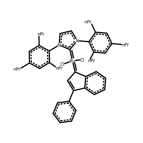 CCCc1cc(CCC)c(-n2ccn(-c3c(CCC)cc(CCC)cc3CCC)[c]2=[Ru]([Cl])([Cl])=[C]2C=C(c3ccccc3)c3ccccc32)c(CCC)c1